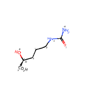 NC(=O)NCCC[C@H](O)C(=O)O